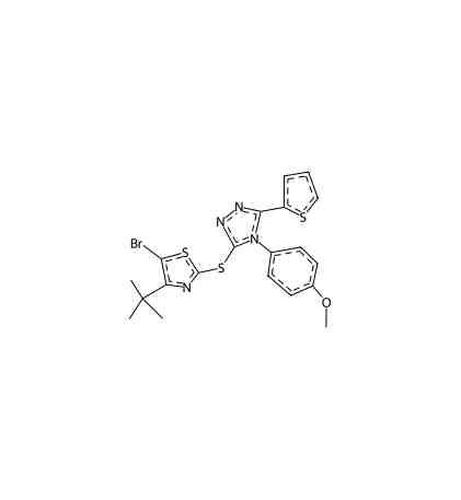 COc1ccc(-n2c(Sc3nc(C(C)(C)C)c(Br)s3)nnc2-c2cccs2)cc1